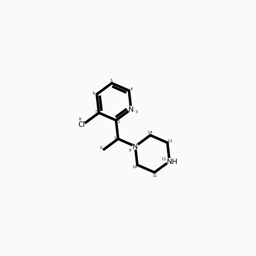 CC(c1ncccc1Cl)N1CCNCC1